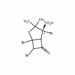 CC1(C)SC2(Br)C(Br)C(=O)N2[C@]1(Br)C(=O)O